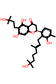 C/C(=C\Cc1c([C@@H]2CC(=O)c3c(cc(O)c(CCC(C)(C)O)c3O)O2)ccc(C)c1O)CCCC(C)(C)O